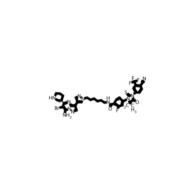 CC1(C)C(=O)N(c2ccc(C#N)c(C(F)(F)F)c2)C(=S)N1c1ccc(C(=O)NCCCCCCn2cc(-c3cnn4c(N)c(Br)c([C@@H]5CCCNC5)nc34)cn2)c(F)c1